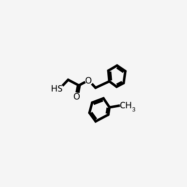 Cc1ccccc1.O=C(CS)OCc1ccccc1